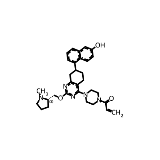 C=CC(=O)N1CCN(c2nc(OC[C@@H]3CCCN3C)nc3c2CCC(c2cccc4cc(O)ccc24)C3)CC1